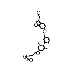 Cc1cc(OCCCS(C)(=O)=O)cc(C)c1-c1cccc(COc2ccc3c(CC=O)coc3c2)c1